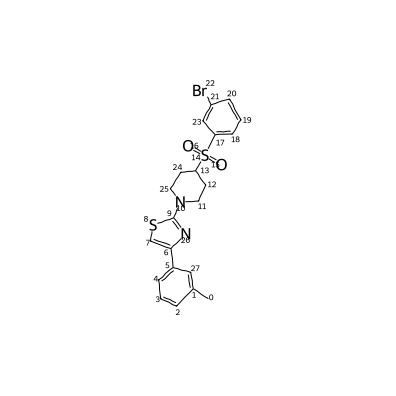 Cc1cccc(-c2csc(N3CCC(S(=O)(=O)c4cccc(Br)c4)CC3)n2)c1